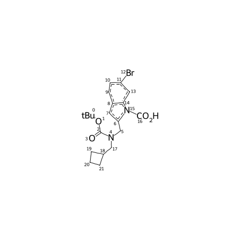 CC(C)(C)OC(=O)N(Cc1cc2ccc(Br)cc2n1C(=O)O)CC1CCC1